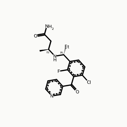 CC[C@@H](N[C@@H](C)CC(N)=O)c1ccc(Cl)c(C(=O)c2cccnc2)c1F